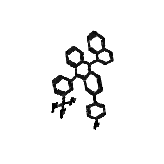 Fc1ccc(-c2ccc3c(-c4cccc5ccccc45)c4ccccc4c(-c4cccc(C(F)(F)F)c4)c3c2)cc1